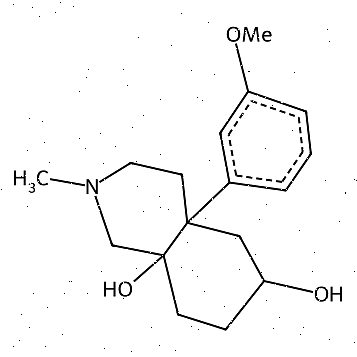 COc1cccc(C23CCN(C)CC2(O)CCC(O)C3)c1